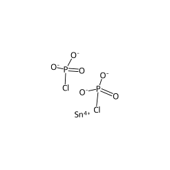 O=P([O-])([O-])Cl.O=P([O-])([O-])Cl.[Sn+4]